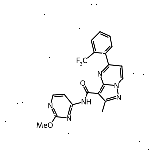 COc1nccc(NC(=O)c2c(C)nn3ccc(-c4ccccc4C(F)(F)F)nc23)n1